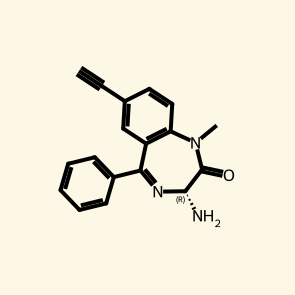 C#Cc1ccc2c(c1)C(c1ccccc1)=N[C@@H](N)C(=O)N2C